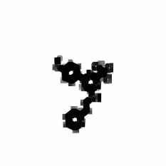 CSc1ccc(-c2nc(NCCc3ccccn3)nc(C(Cl)(Cl)Cl)n2)cc1